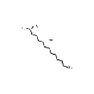 Br.CCCCCCCCCCCCN(C)C